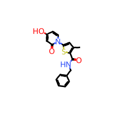 Cc1cc(-n2ccc(O)cc2=O)sc1C(=O)NCc1ccccc1